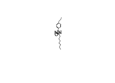 CCCCCCCc1nc(-c2ccc(CCC)cc2)no1